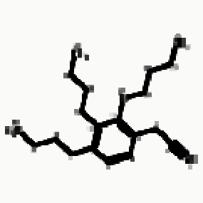 C#CCc1ccc(CCCC)c(CCCC)c1OCCCC